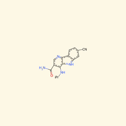 CC(C)Nc1c(C(N)=O)cnc2c1[nH]c1cc(C#N)ccc12